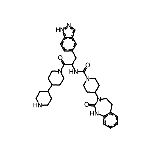 O=C(NC(Cc1ccc2[nH]ncc2c1)C(=O)N1CCC(C2CCNCC2)CC1)N1CCC(N2CCc3ccccc3NC2=O)CC1